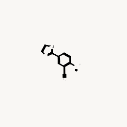 N#Cc1cc(-c2ncc[nH]2)ccc1[N+](=O)[O-]